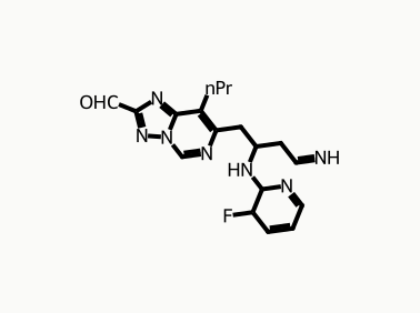 CCCc1c(CC(CC=N)NC2N=CC=CC2F)ncn2nc(C=O)nc12